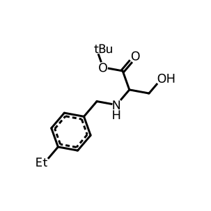 CCc1ccc(CNC(CO)C(=O)OC(C)(C)C)cc1